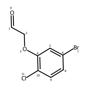 O=CCOc1cc(Br)ccc1Cl